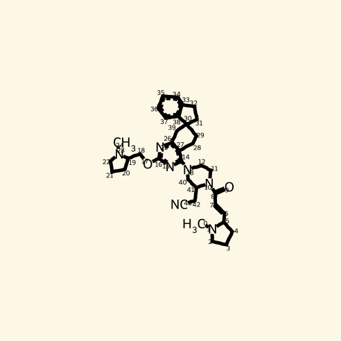 CN1CCCC1/C=C/C(=O)N1CCN(c2nc(OCC3CCCN3C)nc3c2CCC2(CCc4ccccc42)C3)CC1CC#N